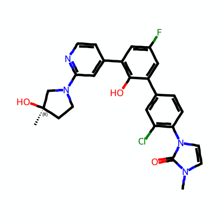 Cn1ccn(-c2ccc(-c3cc(F)cc(-c4ccnc(N5CC[C@@](C)(O)C5)c4)c3O)cc2Cl)c1=O